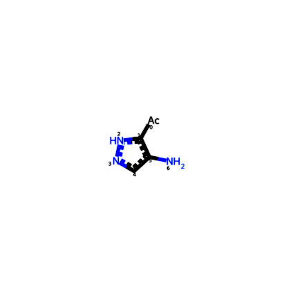 CC(=O)c1[nH]ncc1N